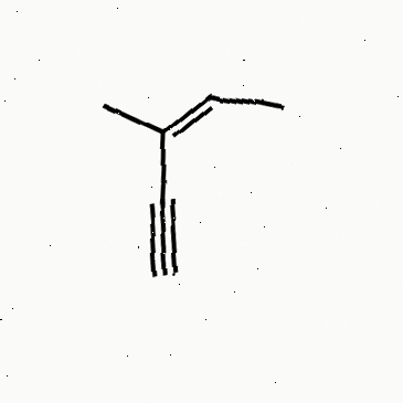 [C]#CC(C)=CC